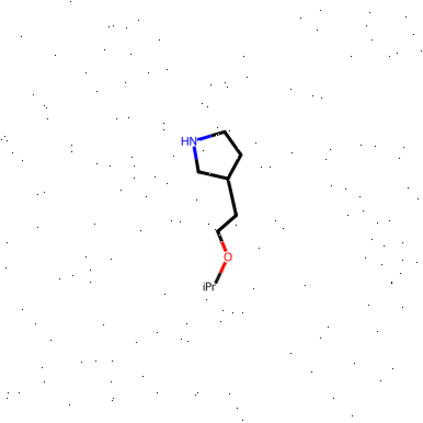 CC(C)OCCC1CCNC1